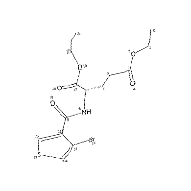 CCOC(=O)CC[C@H](NC(=O)c1cscc1Br)C(=O)OCC